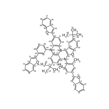 Cc1cc(-c2cc3ccccc3o2)cc(C)c1N1c2cc(C(C)(C)C)cc3c2B(c2ccc(-c4cc5ccccc5o4)cc2N3c2cccc(-c3cc4ccccc4o3)c2)c2c1oc1ccc(C(C)(C)C)cc21